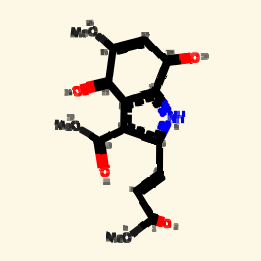 COC(=O)C=Cc1[nH]c2c(c1C(=O)OC)C(=O)C(OC)=CC2=O